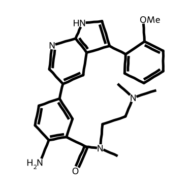 COc1ccccc1-c1c[nH]c2ncc(-c3ccc(N)c(C(=O)N(C)CCN(C)C)c3)cc12